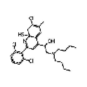 CCCCN(CCCC)CC(O)C1=CC(c2c(Cl)cccc2Cl)=NC2(S)CC(Cl)=C(C)C=C12